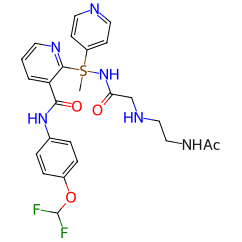 CC(=O)NCCNCC(=O)NS(C)(c1ccncc1)c1ncccc1C(=O)Nc1ccc(OC(F)F)cc1